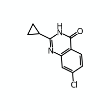 O=c1[nH]c(C2CC2)nc2cc(Cl)ccc12